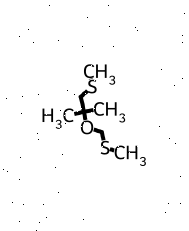 CSCOC(C)(C)CSC